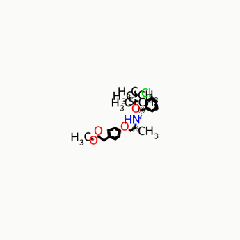 COC(=O)Cc1ccc(OC[C@@H](C)NC[C@H](O[Si](C)(C)C(C)(C)C)c2cccc(Cl)c2)cc1